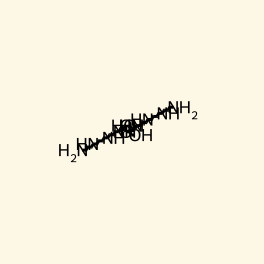 NCCCNCCCCNCCCNCC(O)OC(CO)C(O)CNCCCNCCCCNCCCN